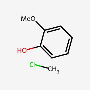 CCl.COc1ccccc1O